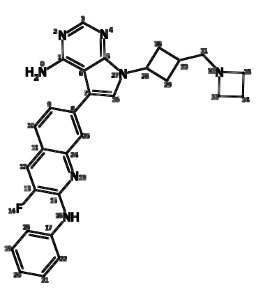 Nc1ncnc2c1c(-c1ccc3cc(F)c(Nc4ccccc4)nc3c1)cn2C1CC(CN2CCC2)C1